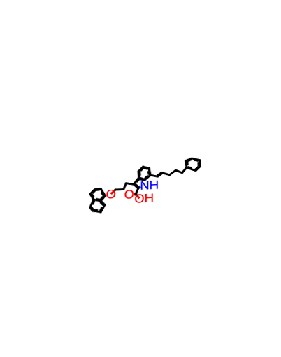 O=C(O)c1[nH]c2c(/C=C/CCCc3ccccc3)cccc2c1CCCOc1cccc2ccccc12